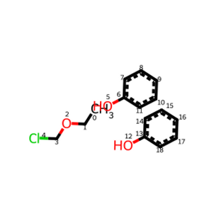 CCOCCl.Oc1ccccc1.Oc1ccccc1